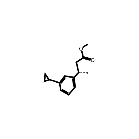 COC(=O)C[C@H](C)c1cccc(C2CC2)c1